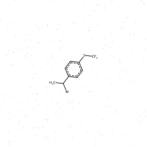 CC(Br)c1ccc(SC(F)(F)F)cc1